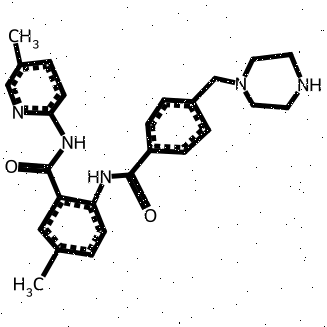 Cc1ccc(NC(=O)c2cc(C)ccc2NC(=O)c2ccc(CN3CCNCC3)cc2)nc1